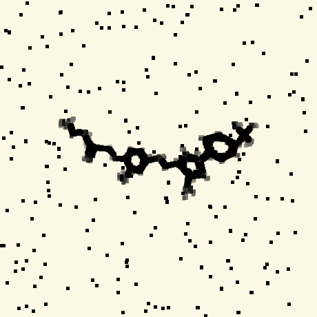 CCOC(=O)COc1ccc(SCc2nn(-c3ccc(C(F)(F)F)cc3)nc2C)cc1C